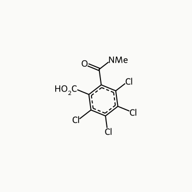 CNC(=O)c1c(Cl)c(Cl)c(Cl)c(Cl)c1C(=O)O